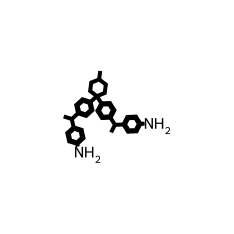 CC1CCC(c2ccc(C(C)c3ccc(N)cc3)cc2)(c2ccc(C(C)c3ccc(N)cc3)cc2)CC1